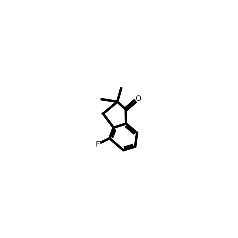 CC1(C)Cc2c(F)cccc2C1=O